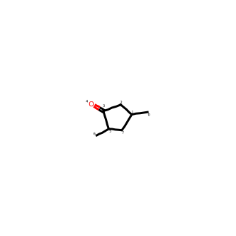 CC1CC(=O)C(C)C1